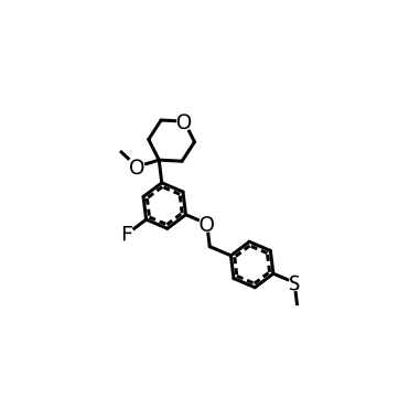 COC1(c2cc(F)cc(OCc3ccc(SC)cc3)c2)CCOCC1